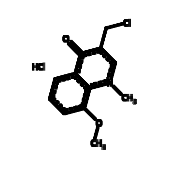 COc1cccc2c(=O)c(CCl)cn(C)c12.Cl